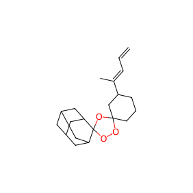 C=C/C=C(\C)C1CCCC2(C1)OOC1(O2)C2CC3CC(C2)CC1C3